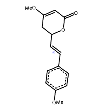 COC1=CC(=O)OC(/C=C/c2ccc(OC)cc2)C1